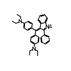 CCN(CC)c1ccc(C(=C2C(c3ccccc3)=[N+](C)c3ccccc32)c2ccc(N(CC)CC)cc2)cc1